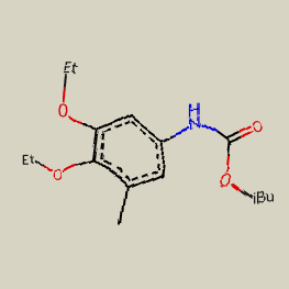 CCOc1cc(NC(=O)OC(C)CC)cc(C)c1OCC